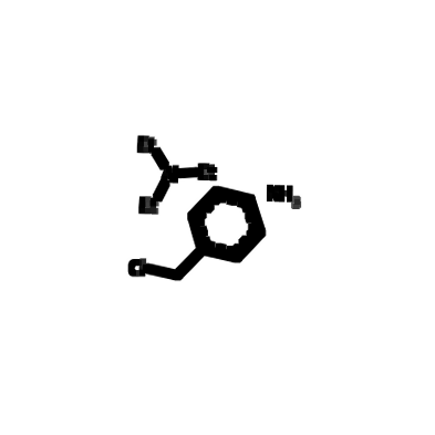 C[CH2][Al]([CH2]C)[CH2]C.ClCc1ccccc1.N